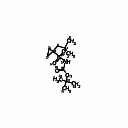 CC(C)CC1(S(=O)(=O)NC(=O)OC(C)(C)C)CC1